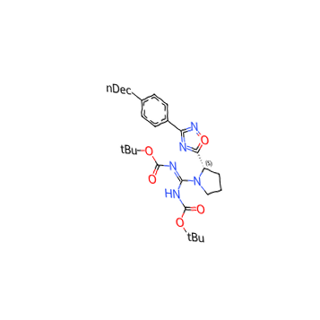 CCCCCCCCCCc1ccc(-c2noc([C@@H]3CCCN3C(=NC(=O)OC(C)(C)C)NC(=O)OC(C)(C)C)n2)cc1